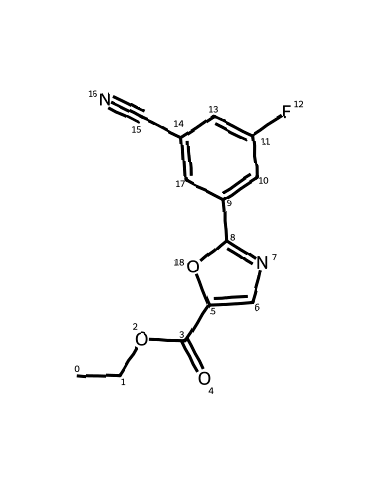 CCOC(=O)c1cnc(-c2cc(F)cc(C#N)c2)o1